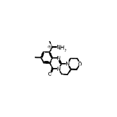 Cc1cc([C@@H](C)N)c2nc3n(c(=O)c2c1)CCC1COCCN31